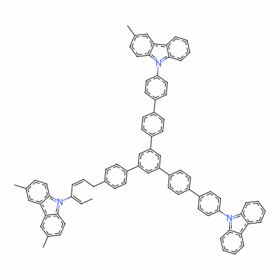 C/C=C(\C=C/Cc1ccc(-c2cc(-c3ccc(-c4ccc(-n5c6ccccc6c6ccccc65)cc4)cc3)cc(-c3ccc(-c4ccc(-n5c6ccccc6c6cc(C)ccc65)cc4)cc3)c2)cc1)n1c2ccc(C)cc2c2cc(C)ccc21